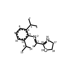 C/C(=N\c1c(C(C)C)cccc1C(C)C)C1=NCCO1